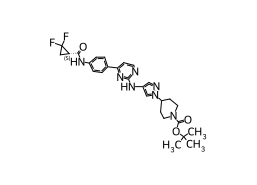 CC(C)(C)OC(=O)N1CCC(n2cc(Nc3nccc(-c4ccc(NC(=O)[C@@H]5CC5(F)F)cc4)n3)cn2)CC1